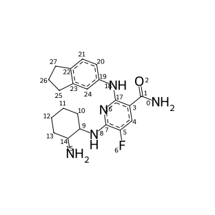 NC(=O)c1cc(F)c(NC2CCCCC2N)nc1Nc1ccc2c(c1)CCC2